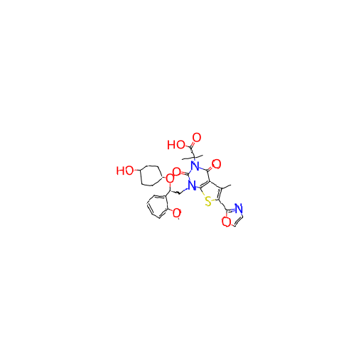 COc1ccccc1[C@H](Cn1c(=O)n(C(C)(C)C(=O)O)c(=O)c2c(C)c(-c3ncco3)sc21)OC1CCC(O)CC1